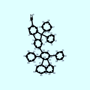 N#Cc1ccc2c(c1)C(c1ccccc1)(c1ccccc1)c1cc(-c3cc(-c4ccccc4)c4c(c3-c3ccccc3)-c3cccc5cccc-4c35)ccc1-2